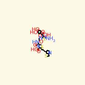 Nc1nc(C(ON=CC(=O)NC2C(=O)N3C(C(=O)O)=C(C=CCc4ccnc5ccsc45)SCC23)(C(=O)O)c2ccc(O)c(O)c2)cs1